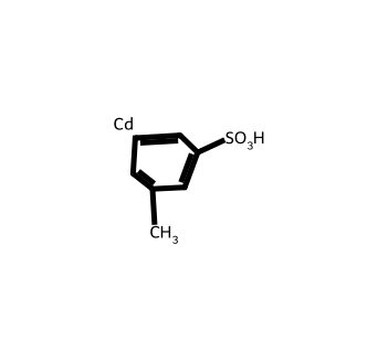 Cc1cccc(S(=O)(=O)O)c1.[Cd]